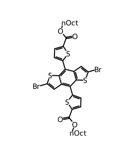 CCCCCCCCOC(=O)c1ccc(-c2c3cc(Br)sc3c(-c3ccc(C(=O)OCCCCCCCC)s3)c3cc(Br)sc23)s1